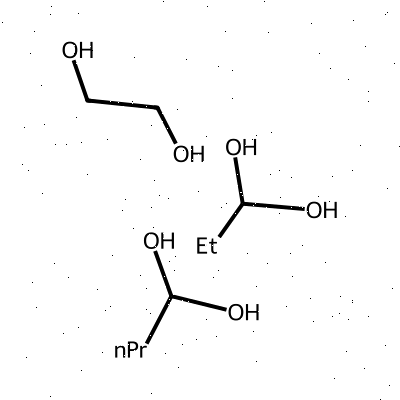 CCC(O)O.CCCC(O)O.OCCO